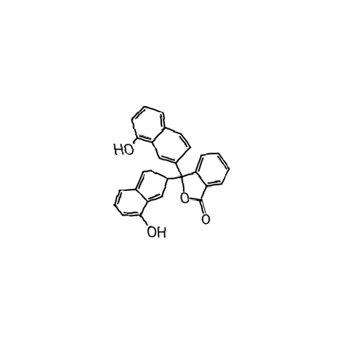 O=C1OC(c2ccc3cccc(O)c3c2)(C2C=c3c(O)cccc3=CC2)c2ccccc21